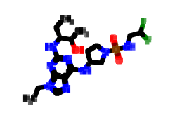 CC[C@H](Nc1nc(N[C@H]2CCN(S(=O)(=O)NCC(F)F)C2)c2ncn(CC)c2n1)[C@@H](C)O